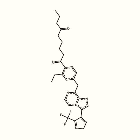 CCCC(=O)CCCCC(=O)c1ccc(Cc2nccn3c(C4=CCN=C4C(F)(F)F)cnc23)cc1CC